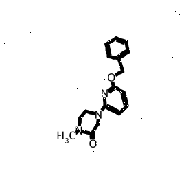 CN1CCN(c2cccc(OCc3ccccc3)n2)CC1=O